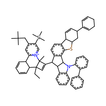 CCC12C=C(C3c4ccc5c(c4C4C3c3ccccc3N4c3ccccc3-c3ccccc3)SC3CC(C4=CCCC=C4)C=CC53)C1(C)[n+]1cc([Si](C)(C)C)c(CC(C)(C)C)cc1C1C=CC=CC12